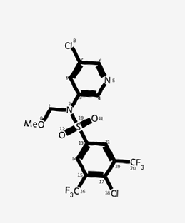 COCN(c1cncc(Cl)c1)S(=O)(=O)c1cc(C(F)(F)F)c(Cl)c(C(F)(F)F)c1